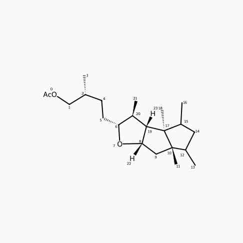 CC(=O)OC[C@H](C)CC[C@H]1O[C@H]2C[C@@]3(C)C(C)CC(C)[C@]3(C)[C@H]2[C@@H]1C